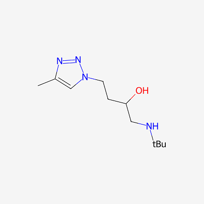 Cc1cn(CCC(O)CNC(C)(C)C)nn1